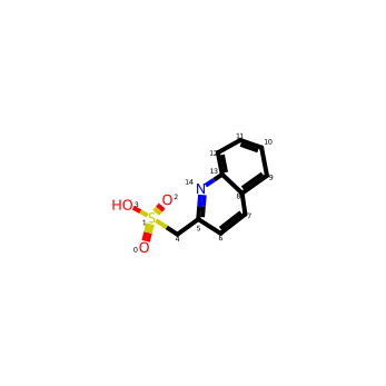 O=S(=O)(O)Cc1ccc2ccccc2n1